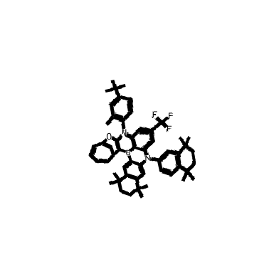 Cc1cc(C(C)(C)C)ccc1N1C2=C(B3c4cc5c(cc4N(c4ccc6c(c4)C(C)(C)CCC6(C)C)c4cc(C(F)(F)F)cc1c43)C(C)(C)CCC5(C)C)C1C=CC=CC(=C1)O2